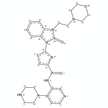 O=C(Nc1cnccc1N1CCNCC1)c1csc(-n2c(=O)n(CCN3CCOCC3)c3ccccc32)n1